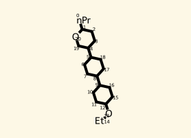 CCCC1CCC(C2CCC(C3CCC(OCC)CC3)CC2)CO1